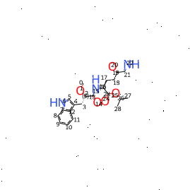 CO[C@@H](Cc1c[nH]c2ccccc12)C(=O)N[C@@H](CCC(=O)C=N)C(=O)OC(C)C